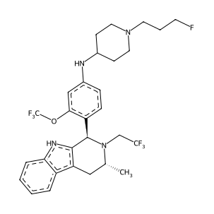 C[C@@H]1Cc2c([nH]c3ccccc23)[C@@H](c2ccc(NC3CCN(CCCF)CC3)cc2OC(F)(F)F)N1CC(F)(F)F